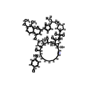 COc1ccc2c(O[C@@H]3C[C@H]4C(=O)N[C@]5(C(=O)NS(=O)(=O)N6CCCC6)C[C@H]5/C=C\CCCCC[C@H](Nc5ccc(Cl)cc5)C(=O)N4C3)cc(-c3nc(C(C)C)cs3)nc2c1C